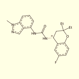 CCC1(CC)C[C@@H](NC(=O)Nc2cccc3c2cnn3C)c2cc(F)ccc2O1